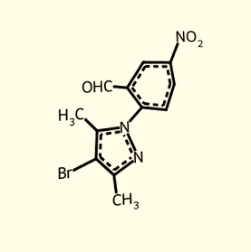 Cc1nn(-c2ccc([N+](=O)[O-])cc2C=O)c(C)c1Br